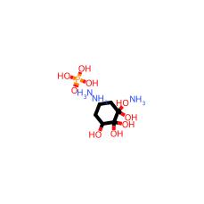 N.N.N.O=P(O)(O)O.OC1CCCC(O)(O)C1(O)O